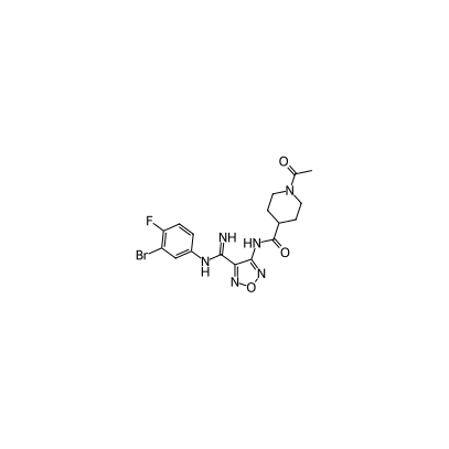 CC(=O)N1CCC(C(=O)Nc2nonc2C(=N)Nc2ccc(F)c(Br)c2)CC1